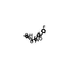 Cc1cc(CNC(=O)c2sc(N3C[C@@H](C)N(Cc4ccc(F)cc4)C3=O)nc2C)no1